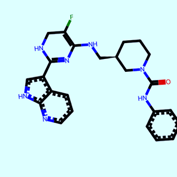 O=C(Nc1ccccc1)N1CCC[C@H](CNC2=C(F)CNC(c3c[nH]c4ncccc34)=N2)C1